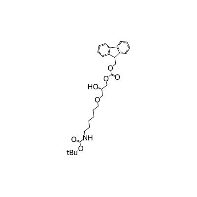 CC(C)(C)OC(=O)NCCCCCCOC[C@@H](O)COC(=O)OCC1c2ccccc2-c2ccccc21